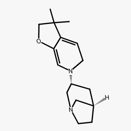 CC1(C)COC2=CN([C@@H]3C[C@H]4CCN(C4)C3)CC=C21